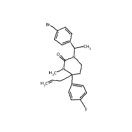 C=CCC1(c2ccc(F)cc2)CCN(C(C)c2ccc(Br)cc2)C(=O)N1C